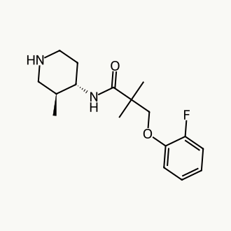 C[C@H]1CNCC[C@@H]1NC(=O)C(C)(C)COc1ccccc1F